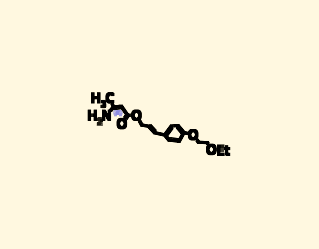 CCOCCOc1ccc(C=CCOC(=O)/C=C(/C)N)cc1